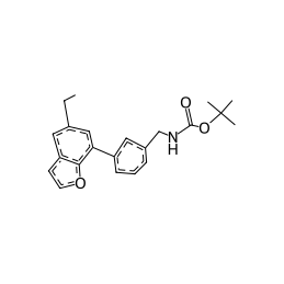 CCc1cc(-c2cccc(CNC(=O)OC(C)(C)C)c2)c2occc2c1